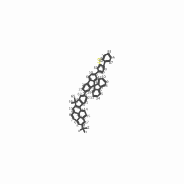 CC(C)(C)c1cc2ccc3cc4c(c5ccc(c1)c2c35)-c1ccc(-c2ccc3c(c2)C2(c5ccccc5-c5ccccc52)c2cc(-c5ccc6c(c5)sc5ccccc56)ccc2-3)cc1C4(C)C